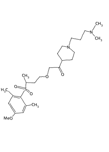 COc1cc(C)c(S(=O)(=O)C(C)CCOCC(=O)C2CCN(CCCN(C)C)CC2)c(C)c1